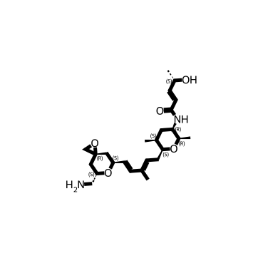 CC(C=C[C@@H]1C[C@]2(CO2)C[C@@H](CN)O1)=CC[C@@H]1O[C@H](C)[C@H](NC(=O)C=C[C@H](C)O)C[C@@H]1C